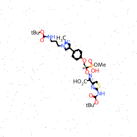 COP(=O)(O)[C@H](COc1ccc(-c2cn(CCCNC(=O)OC(C)(C)C)[n+](C)c2)cc1)O/N=C(\C(=O)O)c1csc(NC(=O)OC(C)(C)C)n1